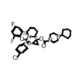 O=C(OC1([C@H]2CCC[C@@H](c3cc(F)cc(F)c3)N2S(=O)(=O)c2ccc(Cl)cc2)CC1)N1CCN(C2CCCCC2)CC1